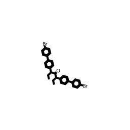 CCC(C(=O)C(CC)c1ccc(-c2ccc(Br)cc2)cc1)c1ccc(-c2ccc(Br)cc2)cc1